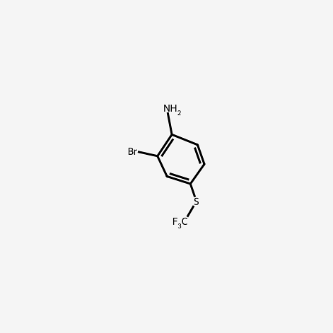 Nc1ccc(SC(F)(F)F)cc1Br